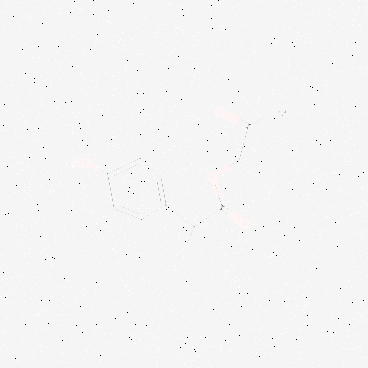 COC(=O)COC(=O)C(C)c1ccc(O)cc1